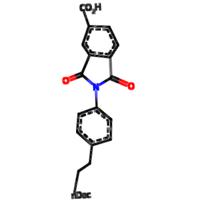 CCCCCCCCCCCCc1ccc(N2C(=O)c3ccc(C(=O)O)cc3C2=O)cc1